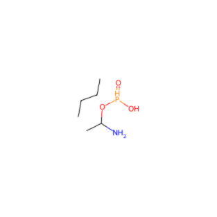 CC(N)O[PH](=O)O.CCCC